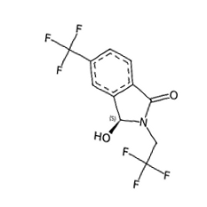 O=C1c2ccc(C(F)(F)F)cc2[C@H](O)N1CC(F)(F)F